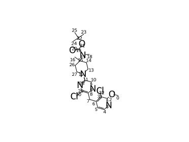 COc1nccc(Cc2ncc(N3CCC(C)(N(C)C(=O)OC(C)(C)C)CC3)nc2Cl)c1Cl